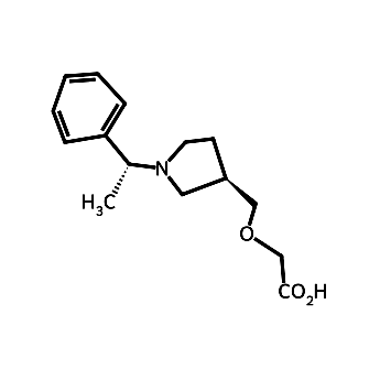 C[C@H](c1ccccc1)N1CC[C@@H](COCC(=O)O)C1